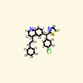 Clc1ccc(C(c2ccc3nccc(/C=C/c4ccccc4)c3c2)c2nccs2)cc1